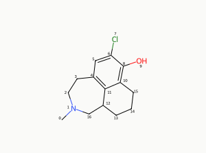 CN1CCc2cc(Cl)c(O)c3c2C(CCC3)C1